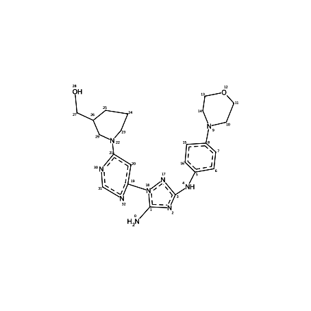 Nc1nc(Nc2ccc(N3CCOCC3)cc2)nn1-c1cc(N2CCCC(CO)C2)ncn1